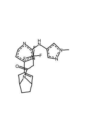 Cn1cc(Nc2nccc(C3=CC4CCC(C3)N4C(=O)CC(F)(F)F)n2)cn1